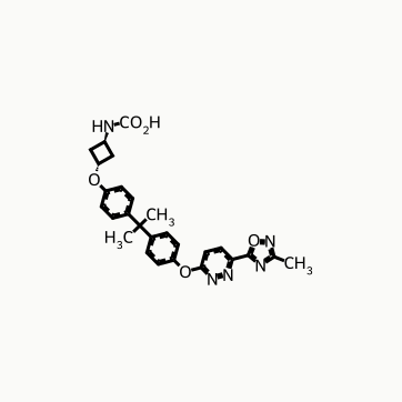 Cc1noc(-c2ccc(Oc3ccc(C(C)(C)c4ccc(O[C@H]5C[C@H](NC(=O)O)C5)cc4)cc3)nn2)n1